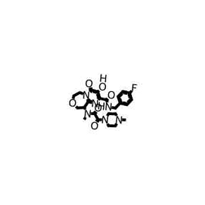 CN1CCN(C(=O)C(=O)N(C)C2COCCn3c2nc(C(=O)NCc2ccc(F)cc2)c(O)c3=O)CC1